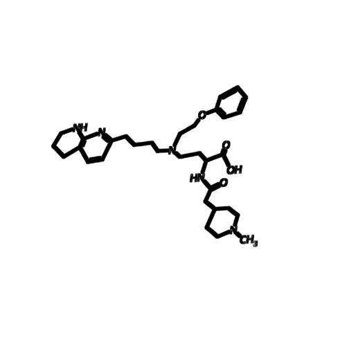 CN1CCC(CC(=O)NC(CCN(CCCCc2ccc3c(n2)NCCC3)CCOc2ccccc2)C(=O)O)CC1